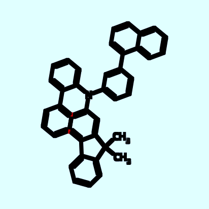 CC1(C)c2ccccc2-c2ccc(N(c3cccc(-c4cccc5ccccc45)c3)c3ccccc3-c3ccccc3)cc21